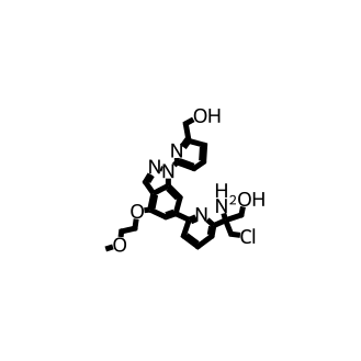 COCCOc1cc(-c2cccc(C(N)(CO)CCl)n2)cc2c1cnn2-c1cccc(CO)n1